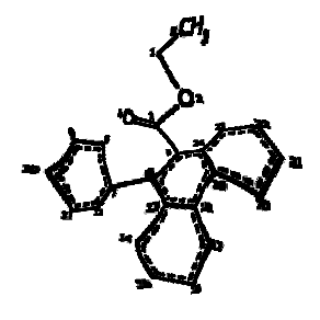 CCOC(=O)c1c(-c2ccccc2)c2ccccc2c2ccccc12